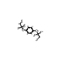 FCC(F)(F)Oc1ccc(OC(F)(F)CF)cc1